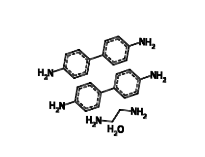 NCCN.Nc1ccc(-c2ccc(N)cc2)cc1.Nc1ccc(-c2ccc(N)cc2)cc1.O